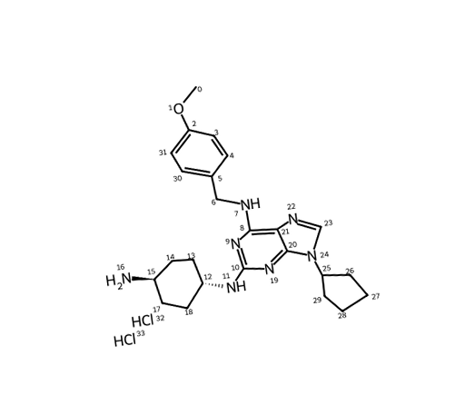 COc1ccc(CNc2nc(N[C@H]3CC[C@H](N)CC3)nc3c2ncn3C2CCCC2)cc1.Cl.Cl